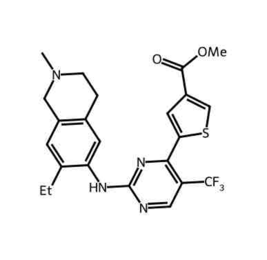 CCc1cc2c(cc1Nc1ncc(C(F)(F)F)c(-c3cc(C(=O)OC)cs3)n1)CCN(C)C2